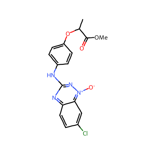 COC(=O)C(C)Oc1ccc(Nc2nc3ccc(Cl)cc3[n+]([O-])n2)cc1